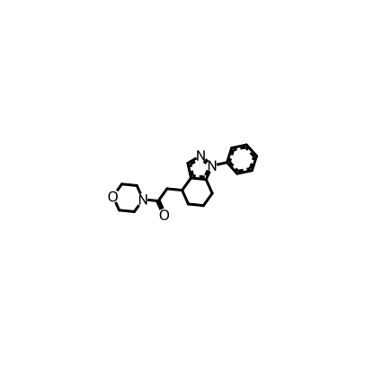 O=C(CC1CCCc2c1cnn2-c1ccccc1)N1CCOCC1